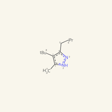 Cc1[nH]nc(CC(C)C)c1C(C)(C)C